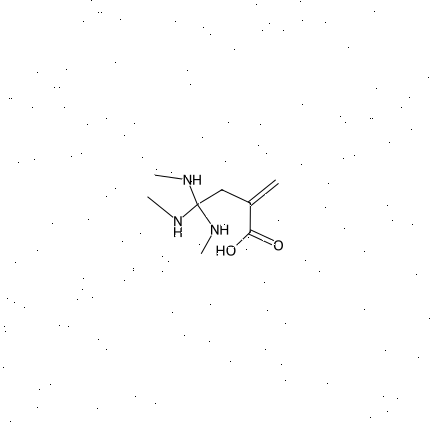 C=C(CC(NC)(NC)NC)C(=O)O